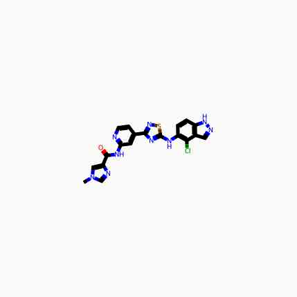 Cn1cnc(C(=O)Nc2cc(-c3nsc(Nc4ccc5[nH]ncc5c4Cl)n3)ccn2)c1